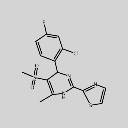 CC1=C(S(C)(=O)=O)C(c2ccc(F)cc2Cl)N=C(c2nccs2)N1